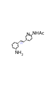 CC(=O)Nc1ccc(/C=C/c2cccc(N)c2)cn1